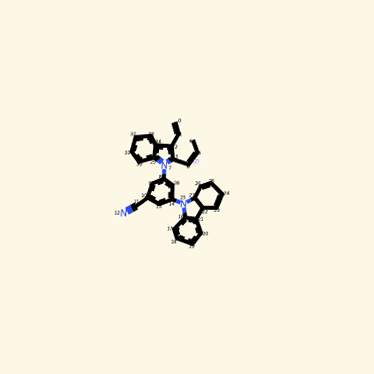 C=Cc1c(/C=C\C)n(-c2cc(C#N)cc(N3c4ccccc4C4C=CC=CC43)c2)c2ccccc12